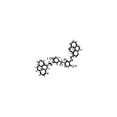 CC(c1ccc(O)c(/N=C/c2ccc3ccc4cccc5ccc2c3c45)c1)(c1ccc(O)c(/N=C/c2cc3cccc4ccc5cccc2c5c43)c1)C(F)(F)F